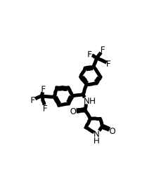 O=C1CC(C(=O)NC(c2ccc(C(F)(F)F)cc2)c2ccc(C(F)(F)F)cc2)CN1